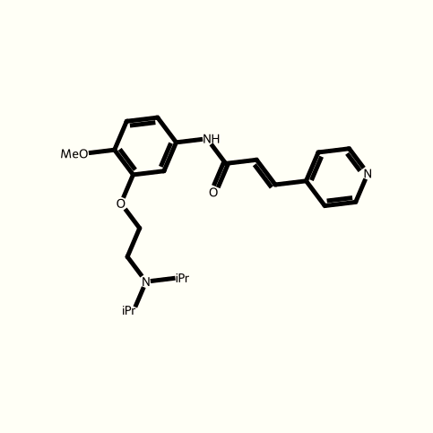 COc1ccc(NC(=O)/C=C/c2ccncc2)cc1OCCN(C(C)C)C(C)C